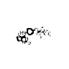 CC(C)(C)NC(=O)O[C@H]1CC[C@@H](Nc2nc(Cl)nc3ccsc23)CC1